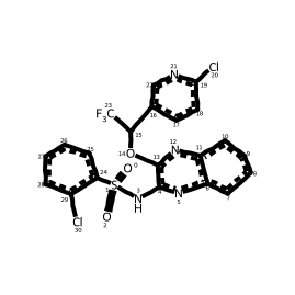 O=S(=O)(Nc1nc2ccccc2nc1OC(c1ccc(Cl)nc1)C(F)(F)F)c1ccccc1Cl